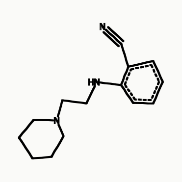 N#Cc1ccccc1NCCN1CCCCC1